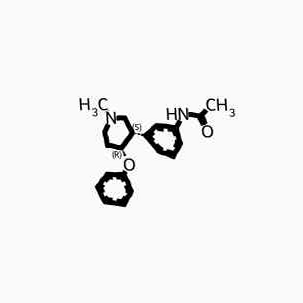 CC(=O)Nc1cccc([C@H]2CN(C)CC[C@H]2Oc2ccccc2)c1